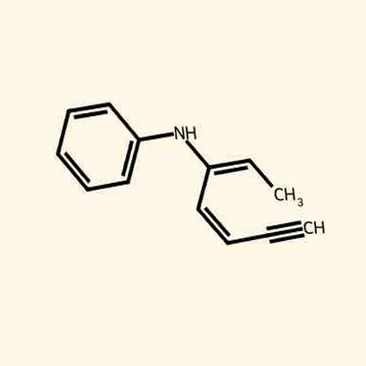 C#C/C=C\C(=C/C)Nc1ccccc1